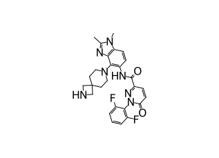 Cc1nc2c(N3CCC4(CC3)CNC4)c(NC(=O)c3ccc(=O)n(-c4c(F)cccc4F)n3)ccc2n1C